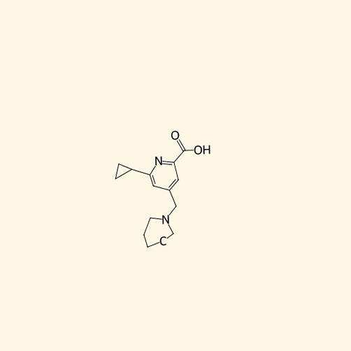 O=C(O)c1cc(CN2CCCCC2)cc(C2CC2)n1